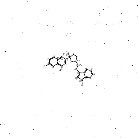 Cc1cc(C2(N)CCC(NCc3nn(C)c4ccccc34)C2)nc2ccc(F)cc12